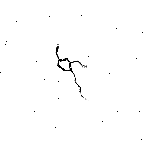 COCCOc1ccc(C=O)cc1CO